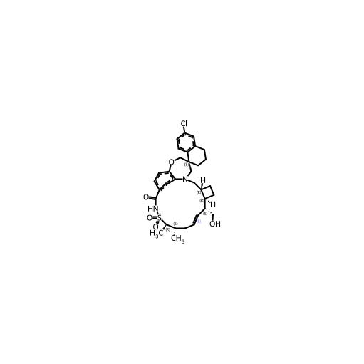 C[C@@H]1[C@@H](C)C/C=C/[C@@H](CO)[C@@H]2CC[C@H]2CN2C[C@@]3(CCCc4cc(Cl)ccc43)COc3ccc(cc32)C(=O)NS1(=O)=O